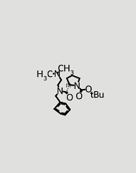 CN(C)CCN(Cc1ccccc1)C(=O)[C@@H]1CCCN1C(=O)OC(C)(C)C